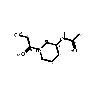 CC(=O)NC1CCCN(C(=O)CCl)C1